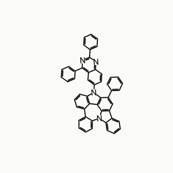 c1ccc(-c2nc(-c3ccccc3)c3cc(-n4c5cccc6c7ccccc7n7c8ccccc8c8cc(-c9ccccc9)c4c(c65)c87)ccc3n2)cc1